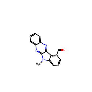 Cn1c2cccc(C=O)c2c2nc3ccccc3nc21